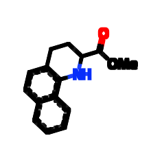 COC(=O)C1CCc2ccc3ccccc3c2N1